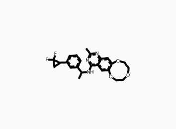 Cc1nc(NC(C)c2cccc(C3CC3(F)F)c2)c2cc3c(cc2n1)OCCOCCO3